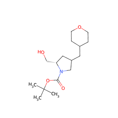 CC(C)(C)OC(=O)N1CC(CC2CCOCC2)C[C@H]1CO